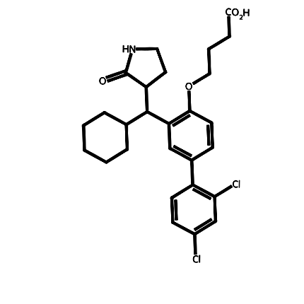 O=C(O)CCCOc1ccc(-c2ccc(Cl)cc2Cl)cc1C(C1CCCCC1)C1CCNC1=O